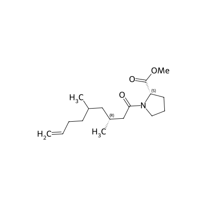 C=CCCC(C)C[C@@H](C)CC(=O)N1CCC[C@H]1C(=O)OC